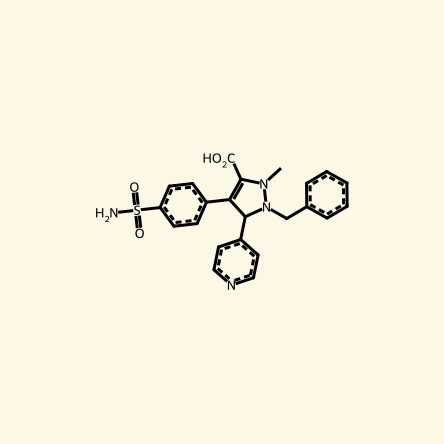 CN1C(C(=O)O)=C(c2ccc(S(N)(=O)=O)cc2)C(c2ccncc2)N1Cc1ccccc1